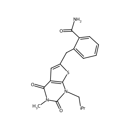 CC(C)Cn1c(=O)n(C)c(=O)c2cc(Cc3ccccc3C(N)=O)sc21